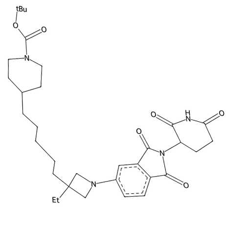 CCC1(CCCCCC2CCN(C(=O)OC(C)(C)C)CC2)CN(c2ccc3c(c2)C(=O)N(C2CCC(=O)NC2=O)C3=O)C1